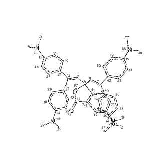 CN(C)c1ccc(C(=CC2(C=C(c3ccc(N(C)C)cc3)c3ccc(N(C)C)cc3)OC(=O)c3cc(N(C)C)ccc32)c2ccc(N(C)C)cc2)cc1